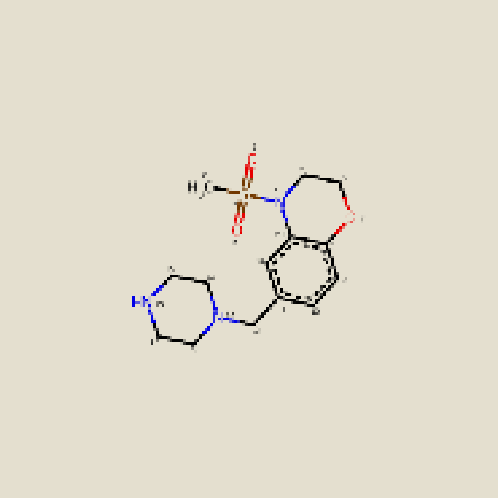 CS(=O)(=O)N1CCOc2ccc(CN3CCNCC3)cc21